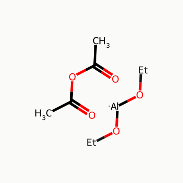 CC(=O)OC(C)=O.CC[O][Al][O]CC